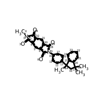 Cn1c(=O)c2cc3c(=O)n(-c4ccc(C5(C)CC(C)(C)c6ccccc65)cc4)c(=O)c3cc2c1=O